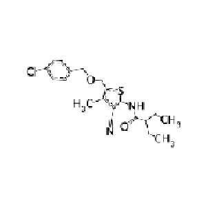 CCC(CC)C(=O)Nc1sc(COCc2ccc(Cl)cc2)c(C)c1C#N